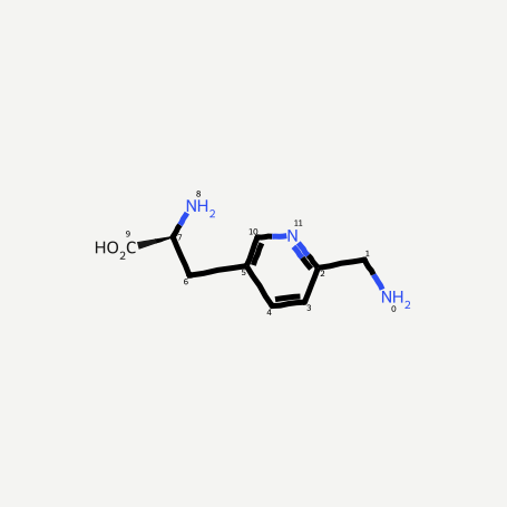 NCc1ccc(C[C@H](N)C(=O)O)cn1